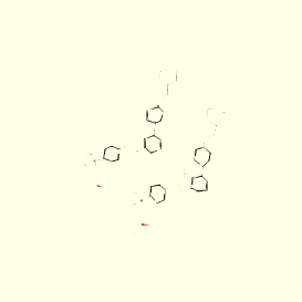 O=C([O-])COC1(c2ccc(OCc3cccc(-c4ccc(OCC5CCOCC5)cc4)c3Cl)cc2)COC1.O=C([O-])COC1(c2ccc(OCc3cccc(-c4ccc(OCC5CCOCC5)cc4)c3Cl)cc2)COC1.[Ca+2]